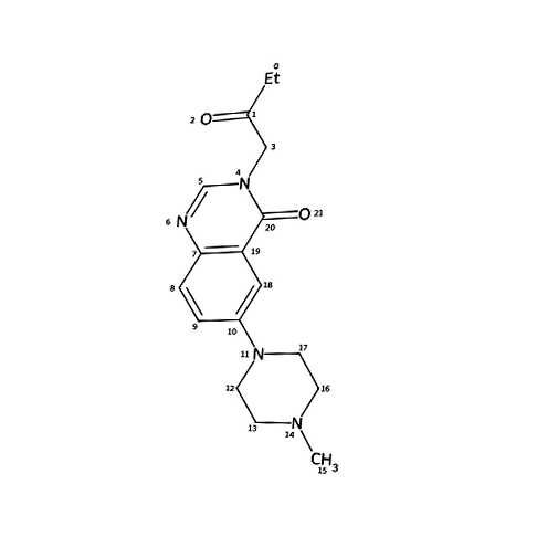 CCC(=O)Cn1cnc2ccc(N3CCN(C)CC3)cc2c1=O